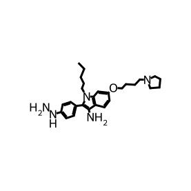 CCCCCn1c(-c2ccc(NN)cc2)c(N)c2ccc(OCCCCN3CCCC3)cc21